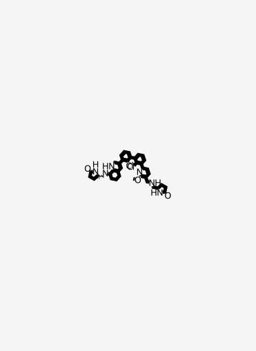 COc1nc(-c2cccc(-c3cccc(-c4cnc5c(c4)CCCC5NC[C@@H]4CCC(=O)N4)c3Cl)c2Cl)ccc1CNCC1CCC(=O)N1